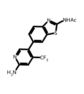 CC(=O)Nc1nc2ccc(-c3cnc(N)cc3C(F)(F)F)cc2s1